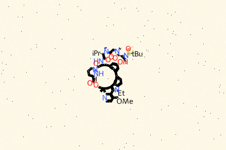 CCn1c(-c2cnccc2COC)c2c3cc(ccc31)-c1cc(O)cc(c1)C[C@H](NC(=O)[C@H](C(C)C)N(C)C(=O)CN(C)C(=O)[C@H]1[C@@H](C)N1[S@+]([O-])C(C)(C)C)C(=O)N1CCC[C@H](N1)C(=O)OCC(C)(C)C2